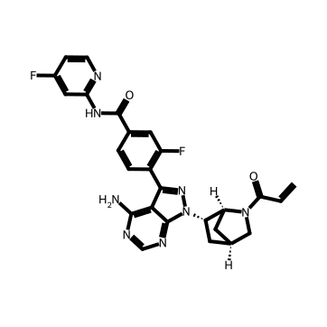 C=CC(=O)N1C[C@@H]2C[C@H]1[C@@H](n1nc(-c3ccc(C(=O)Nc4cc(F)ccn4)cc3F)c3c(N)ncnc31)C2